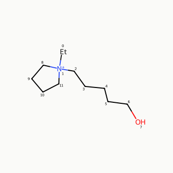 CC[N+]1(CCCCCO)CCCC1